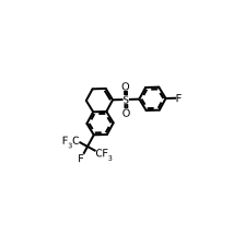 O=S(=O)(C1=CCCc2cc(C(F)(C(F)(F)F)C(F)(F)F)ccc21)c1ccc(F)cc1